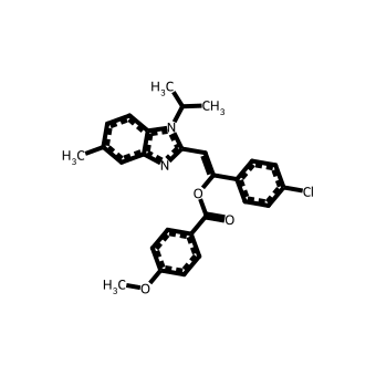 COc1ccc(C(=O)O/C(=C\c2nc3cc(C)ccc3n2C(C)C)c2ccc(Cl)cc2)cc1